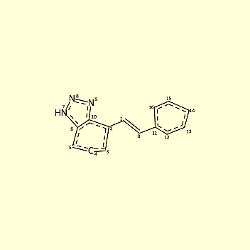 C(=Cc1cccc2[nH]nnc12)c1ccccc1